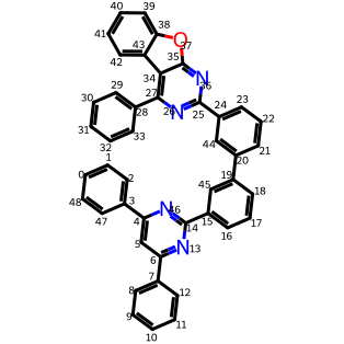 c1ccc(-c2cc(-c3ccccc3)nc(-c3cccc(-c4cccc(-c5nc(-c6ccccc6)c6c(n5)oc5ccccc56)c4)c3)n2)cc1